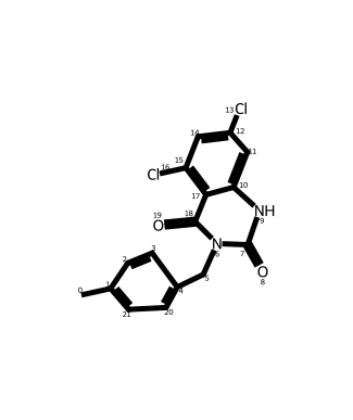 Cc1ccc(Cn2c(=O)[nH]c3cc(Cl)cc(Cl)c3c2=O)cc1